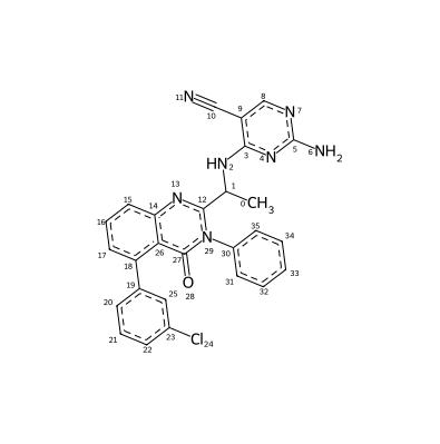 CC(Nc1nc(N)ncc1C#N)c1nc2cccc(-c3cccc(Cl)c3)c2c(=O)n1-c1ccccc1